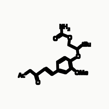 COc1cc(C=CC(=O)CC(C)=O)ccc1OC(COC(N)=O)C(C)(C)C